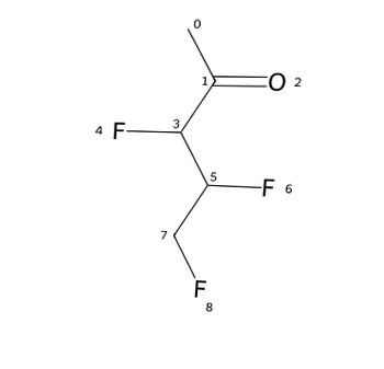 CC(=O)C(F)C(F)CF